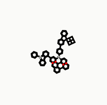 c1ccc(-c2cccc3cccc(-c4ccccc4N(c4ccc(-c5ccc6c(c5)C5(c7ccccc7-6)C6CC7CC8CC5C786)cc4)c4cccc(-c5cccc6c5c5ccccc5n6-c5ccccc5)c4)c23)cc1